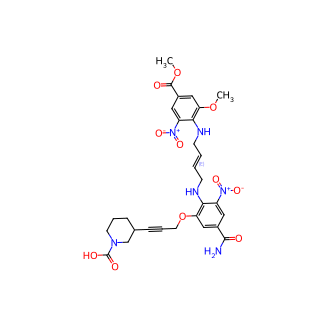 COC(=O)c1cc(OC)c(NC/C=C/CNc2c(OCC#CC3CCCN(C(=O)O)C3)cc(C(N)=O)cc2[N+](=O)[O-])c([N+](=O)[O-])c1